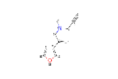 C#CCN(C)CC(=C)c1ccoc1